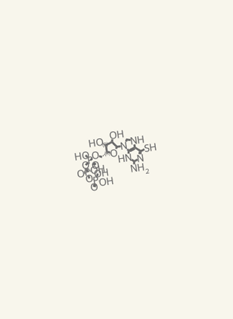 NC1N=C(S)C2=C(N1)N(C1O[C@H](COP(=O)(O)OP(=O)(O)OP(=O)(O)O)[C@H](O)C1O)CN2